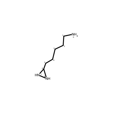 NCCCCCC1NN1